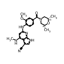 CNc1cc(Nc2ccc(C(=O)N3C[C@@H](C)O[C@@H](C)C3)cc2OC)nc2[nH]cc(C#N)c12